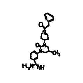 CC1CN(c2cccc(C(=N)N)c2)C(=O)N(C2CCN(C(=O)Cc3ccccc3)CC2)C1